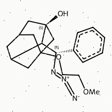 COCCOC12CC3CC(C1)C([C@@H](N=[N+]=[N-])c1ccccc1)[C@](O)(C3)C2